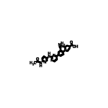 CC(=O)Nc1ccc(Nc2nccc(-c3ccc(N4CCC(C(=O)O)CC4N)c(C#N)c3)n2)cn1